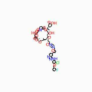 CO[C@H]1C/C(C)=C/[C@@H](CCCC(=O)N2CCN(Cc3ccc(-c4ccc5ncnc(Nc6ccc(OCc7cccc(F)c7)c(Cl)c6)c5c4)o3)CC2)C(=O)C[C@H](O)[C@@H](C)[C@@H](/C(C)=C/[C@@H]2CC[C@@H](O)[C@H](OC)C2)OC(=O)[C@@H]2CCCCN2C(=O)C(=O)[C@]2(O)O[C@H]([C@@H](OC)C1)[C@@H](OC)C[C@H]2C